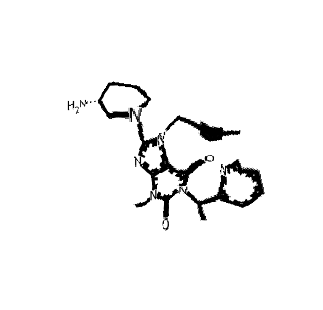 CC#CCn1c(N2CCC[C@@H](N)C2)nc2c1c(=O)n(C(C)c1ccccn1)c(=O)n2C